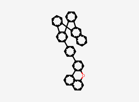 c1ccc2c(c1)-c1ccc(-c3ccc(-c4ccc5c(c4)-c4cccc6cccc(c46)O5)cc3)cc1C21c2ccccc2-c2cc3ccccc3cc21